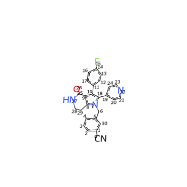 N#Cc1cccc(Cn2c3c(c(-c4ccc(F)cc4)c2-c2ccncc2)C(=O)NCC3)c1